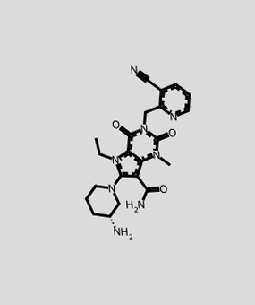 CCn1c(N2CCC[C@@H](N)C2)c(C(N)=O)c2c1c(=O)n(Cc1ncccc1C#N)c(=O)n2C